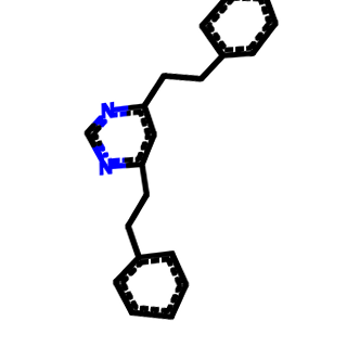 c1ccc(CCc2cc(CCc3ccccc3)ncn2)cc1